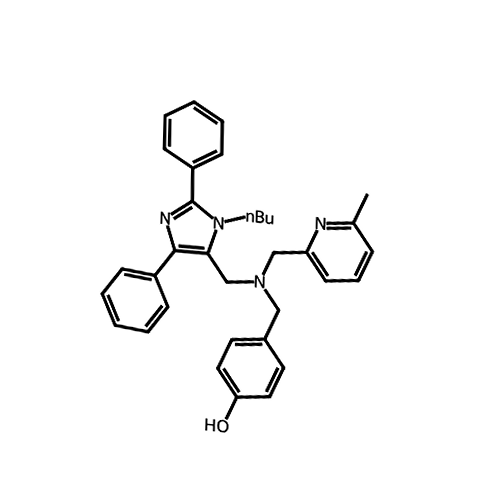 CCCCn1c(-c2ccccc2)nc(-c2ccccc2)c1CN(Cc1ccc(O)cc1)Cc1cccc(C)n1